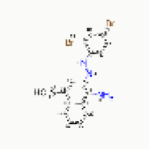 Nc1c(N=Nc2ccc(Br)cc2Br)cc(S(=O)(=O)O)c2ccccc12